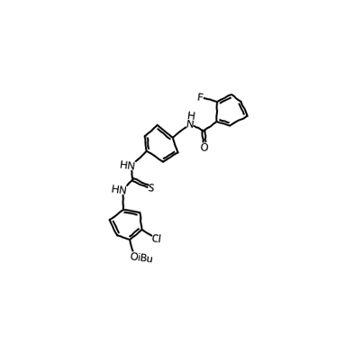 CC(C)COc1ccc(NC(=S)Nc2ccc(NC(=O)c3ccccc3F)cc2)cc1Cl